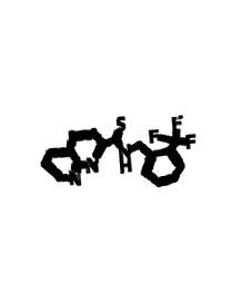 FC(F)(F)c1ccccc1CNC(=S)c1ccc2cccnc2n1